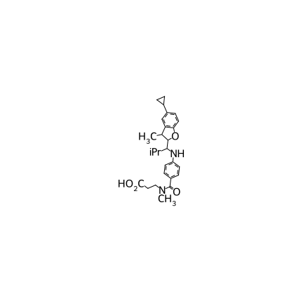 CC(C)C(Nc1ccc(C(=O)N(C)CCC(=O)O)cc1)C1Oc2ccc(C3CC3)cc2C1C